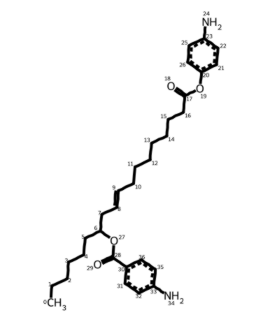 CCCCCCC(C/C=C/CCCCCCCC(=O)Oc1ccc(N)cc1)OC(=O)c1ccc(N)cc1